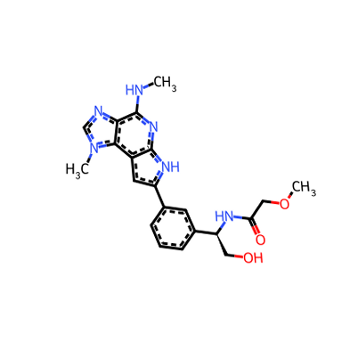 CNc1nc2[nH]c(-c3cccc([C@H](CO)NC(=O)COC)c3)cc2c2c1ncn2C